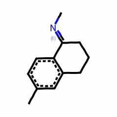 C/N=C1\CCCc2cc(C)ccc21